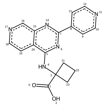 O=C(O)C1(Nc2nc(-c3ccncc3)nc3cnccc23)CCC1